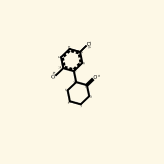 O=C1CCCCC1c1cc(Cl)ccc1Cl